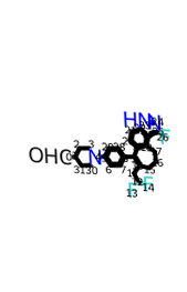 O=CC1CCN(c2ccc(C3=C(CC(F)F)CCCc4c3ccc3[nH]nc(F)c43)cc2)CC1